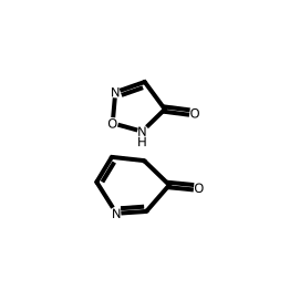 O=C1C=NC=CC1.O=c1cno[nH]1